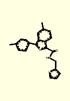 Cc1ccc(-c2oc(C(=O)NCc3ccco3)c3ccc(C)cc23)cc1